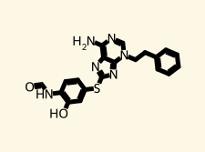 Nc1ncn(CCc2ccccc2)c2nc(Sc3ccc(NC=O)c(O)c3)nc1-2